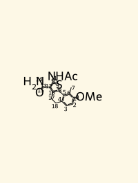 COc1ccc2c(c1C)-c1sc(NC(C)=O)c(C(N)=O)c1CC2